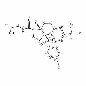 C[C@@H](O)CNC(=O)[C@@H]1CC[C@@]2(S(=O)(=O)c3ccc(F)cc3)c3ccc(C(C)(F)C(F)(F)F)cc3CC[C@@H]12